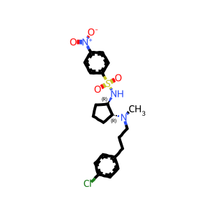 CN(CCCc1ccc(Cl)cc1)[C@@H]1CCC[C@H]1NS(=O)(=O)c1ccc([N+](=O)[O-])cc1